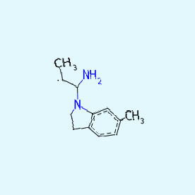 C[CH]C(N)N1CCc2ccc(C)cc21